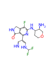 N=C/C(=C\NC(F)F)c1nc(NC2CCOC[C@@H]2N)c(F)c2c1C(=O)NC2